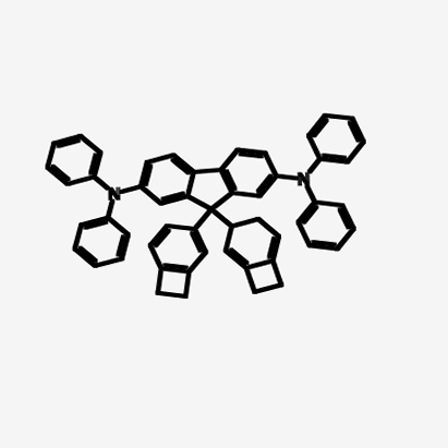 C1=C2CCC2=CC(C2(c3ccc4c(c3)CC4)c3cc(N(c4ccccc4)c4ccccc4)ccc3-c3ccc(N(c4ccccc4)c4ccccc4)cc32)C1